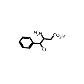 CCC(c1ccccc1)C(N)CC(=O)O